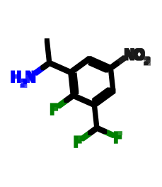 CC(N)c1cc([N+](=O)[O-])cc(C(F)F)c1F